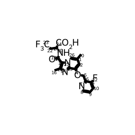 Cc1cc(OCc2ncccc2F)c2nc(C)c(C(=O)NC(CC(F)(F)F)C(=O)O)n2c1